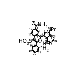 CC(C)n1cc(C(=O)c2cc(C(N)=O)ccc2C(=Cc2ccccc2)S(=O)(=O)O)c2c(N)ncnc21